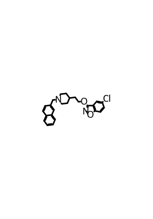 Clc1ccc2onc(OCCC3CCN(Cc4ccc5ccccc5c4)CC3)c2c1